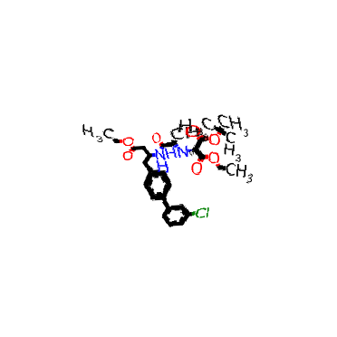 CCOC(=O)CC(Cc1ccc(-c2cccc(Cl)c2)cc1)NC(=O)C(C)N[C@H](C(=O)OCC)C(=O)OC(C)(C)C